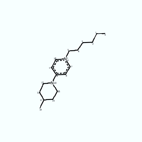 CCCCCC[n+]1ccc(N2CCC(C)CC2)cc1